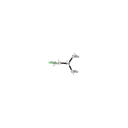 Br.CC(C)C[O][Hf]([O]CC(C)C)[O]CC(C)C